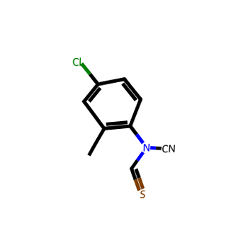 Cc1cc(Cl)ccc1N(C#N)C=S